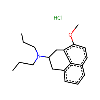 CCCN(CCC)C1Cc2cccc3ccc(OC)c(c23)C1.Cl